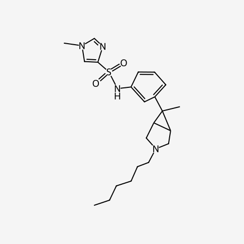 CCCCCCN1CC2C(C1)C2(C)c1cccc(NS(=O)(=O)c2cn(C)cn2)c1